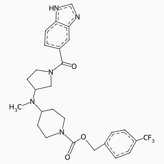 CN(C1CCN(C(=O)OCc2ccc(C(F)(F)F)cc2)CC1)C1CCN(C(=O)c2ccc3[nH]cnc3c2)C1